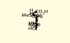 CSN[C@@H](CCC(=O)O)C(=O)N[C@@H](CSCC[C@H](NC(C)C)C(=O)NC[C@@H](C)O)C(C)=O